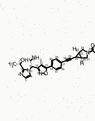 C[C@H](O)c1nccn1[C@H](CN)c1cc(-c2ccc(C#CC3[C@H]4CN(C(=O)O)C[C@@H]34)cc2)on1